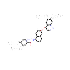 COc1ccc(C(=O)Nc2cccc3cc(Oc4ccnc5cc(OC)c(OC)cc45)ccc23)cc1OC